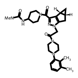 CNC(=O)NC1CCN(C(=O)c2nn(CC(=O)N3CCN(c4cccc(C)c4C)CC3)c3c2[C@@H]2C[C@@H]2C3)CC1